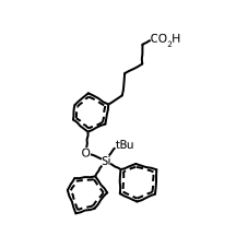 CC(C)(C)[Si](Oc1cccc(CCCCC(=O)O)c1)(c1ccccc1)c1ccccc1